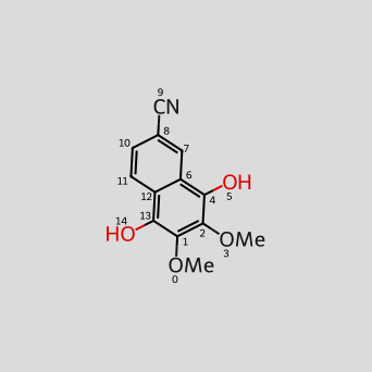 COc1c(OC)c(O)c2cc(C#N)ccc2c1O